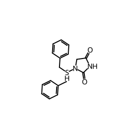 O=C1CN([SH](Cc2ccccc2)Cc2ccccc2)C(=O)N1